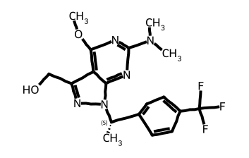 COc1nc(N(C)C)nc2c1c(CO)nn2[C@@H](C)c1ccc(C(F)(F)F)cc1